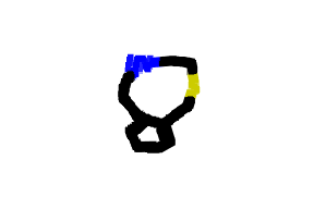 c1ccc2c(c1)CCNCCSC2